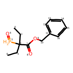 CCC(CC)([PH2]=O)C(=O)OCc1ccccc1